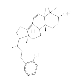 C[C@H](CCc1ccccc1C(F)(F)F)[C@H]1CCC2=C3C=C[C@H]4C(C)(C)[C@@H](O)CC[C@]4(C)[C@H]3CC[C@@]21C